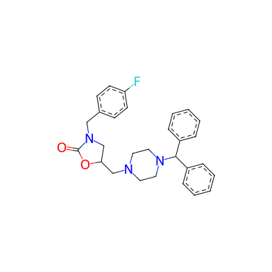 O=C1OC(CN2CCN(C(c3ccccc3)c3ccccc3)CC2)CN1Cc1ccc(F)cc1